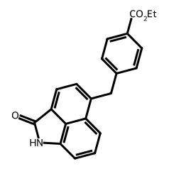 CCOC(=O)c1ccc(Cc2ccc3c4c(cccc24)NC3=O)cc1